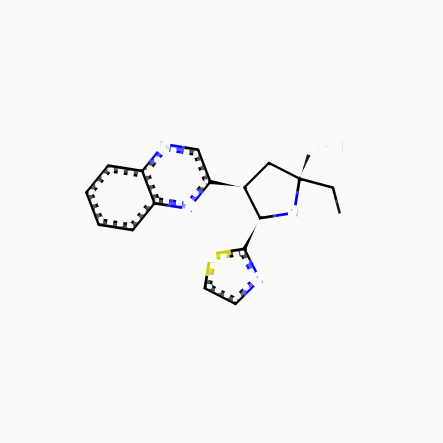 CC(C)C[C@@]1(C(=O)O)C[C@H](c2cnc3ccccc3n2)[C@H](c2nccs2)N1